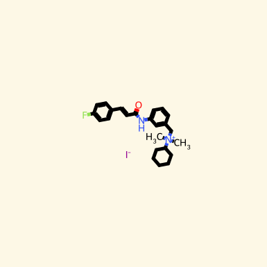 C[N+](C)(Cc1cccc(NC(=O)C=Cc2ccc(F)cc2)c1)C1CCCCC1.[I-]